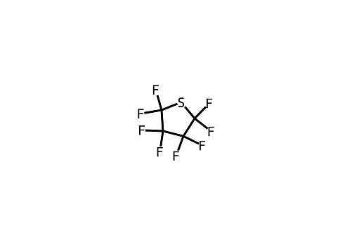 FC1(F)SC(F)(F)C(F)(F)C1(F)F